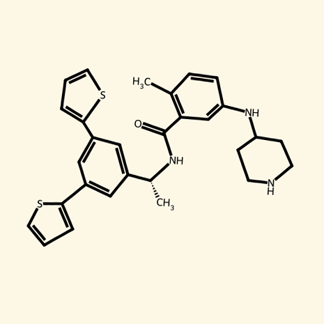 Cc1ccc(NC2CCNCC2)cc1C(=O)N[C@H](C)c1cc(-c2cccs2)cc(-c2cccs2)c1